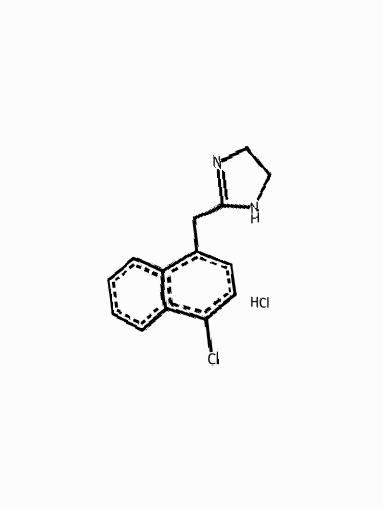 Cl.Clc1ccc(CC2=NCCN2)c2ccccc12